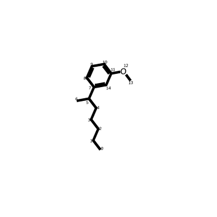 CCCCCC(C)c1[c]ccc(OC)c1